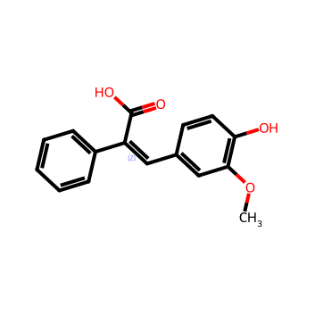 COc1cc(/C=C(\C(=O)O)c2ccccc2)ccc1O